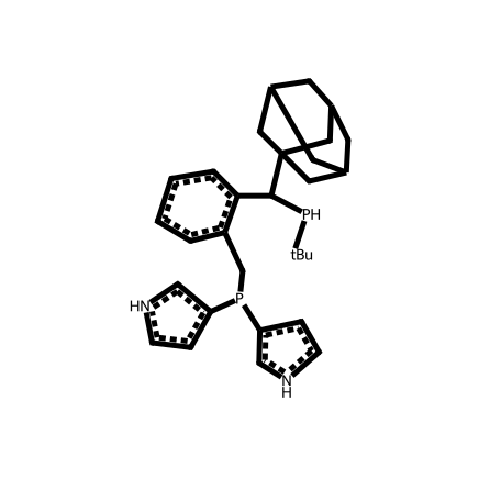 CC(C)(C)PC(c1ccccc1CP(c1cc[nH]c1)c1cc[nH]c1)C12CC3CC(CC(C3)C1)C2